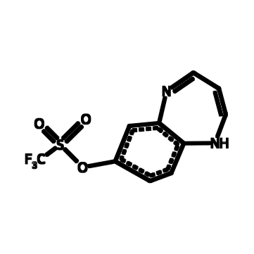 O=S(=O)(Oc1ccc2c(c1)N=CC=CN2)C(F)(F)F